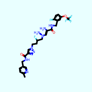 Cc1ccc(CNC(=O)c2cn(CCC(F)CN(N)/C=C(\N)C(=O)NCc3cc(OC(F)(F)F)ccc3F)nn2)cn1